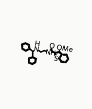 COc1c(C(=O)NCCNC(c2ccccc2)c2ccccc2)sc2ccccc12